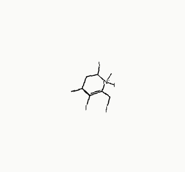 CC1CC(I)[N+](C)(I)C(CI)=C1I